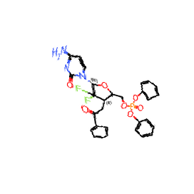 Nc1ccn([C@@H]2OC(COP(=O)(Oc3ccccc3)Oc3ccccc3)[C@@H](CC(=O)c3ccccc3)C2(F)F)c(=O)n1